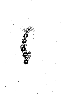 CC(C)(C)OC(=O)N1CCN(c2ncc(-n3cnc4ccc(Oc5c(F)ccc(NS(=O)(=O)C6CCCCC6)c5C#N)cc4c3=O)cn2)CC1